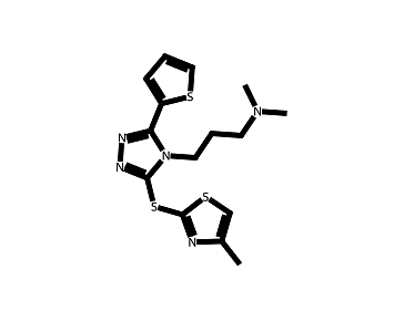 Cc1csc(Sc2nnc(-c3cccs3)n2CCCN(C)C)n1